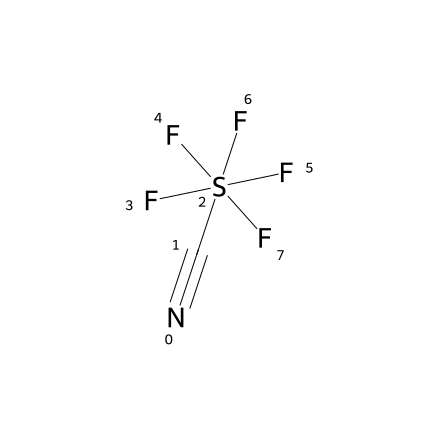 N#CS(F)(F)(F)(F)F